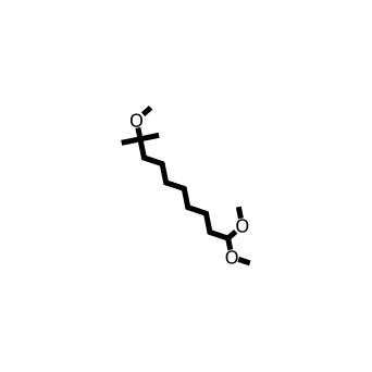 COC(CCCCCCCC(C)(C)OC)OC